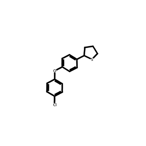 Clc1ccc(Oc2ccc(C3CCCS3)cc2)cc1